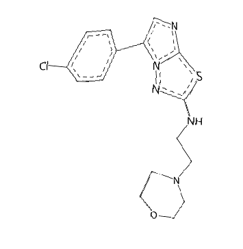 Clc1ccc(-c2cnc3sc(NCCN4CCOCC4)nn23)cc1